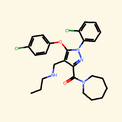 CCCNCc1c(C(=O)N2CCCCCC2)nn(-c2ccccc2Cl)c1Oc1ccc(Cl)cc1